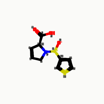 O=C(O)[C@@H]1C=CCN1[S+]([O-])c1ccsc1